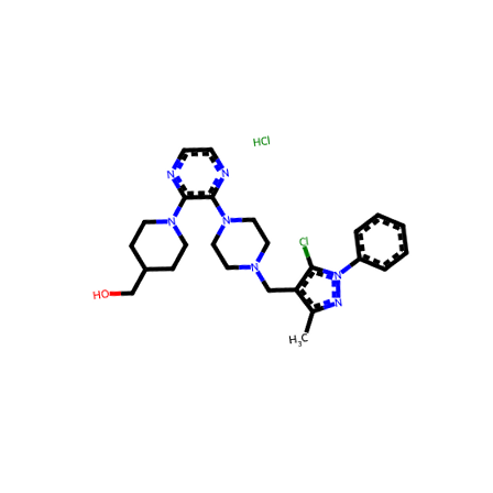 Cc1nn(-c2ccccc2)c(Cl)c1CN1CCN(c2nccnc2N2CCC(CO)CC2)CC1.Cl